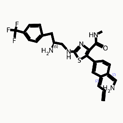 C=C/C=c1/cc(-c2sc(NC[C@@H](N)Cc3ccc(C(F)(F)F)cc3)nc2C(=O)NC)cc/c1=C/N